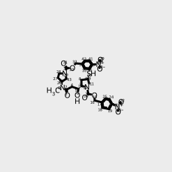 CN(C(=O)CC(O)[C@@H]1C[C@H](S)CN1C(=O)OCc1ccc([N+](=O)[O-])cc1)[C@H]1CCN(C(=O)OCc2ccc([N+](=O)[O-])cc2)C1